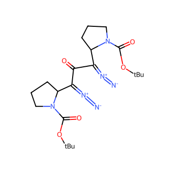 CC(C)(C)OC(=O)N1CCCC1C(=[N+]=[N-])C(=O)C(=[N+]=[N-])C1CCCN1C(=O)OC(C)(C)C